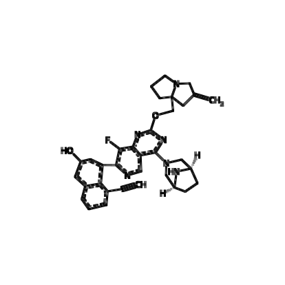 C#Cc1cccc2cc(O)cc(-c3ncc4c(N5C[C@H]6CC[C@@H](C5)N6)nc(OCC56CCCN5CC(=C)C6)nc4c3F)c12